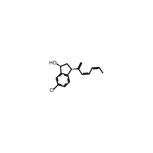 C=C(/C=C\C=C/C)[C@@H]1C[C@H](O)c2cc(Cl)ccc21